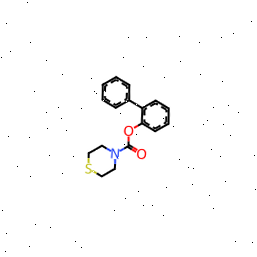 O=C(Oc1ccccc1-c1ccccc1)N1CCSCC1